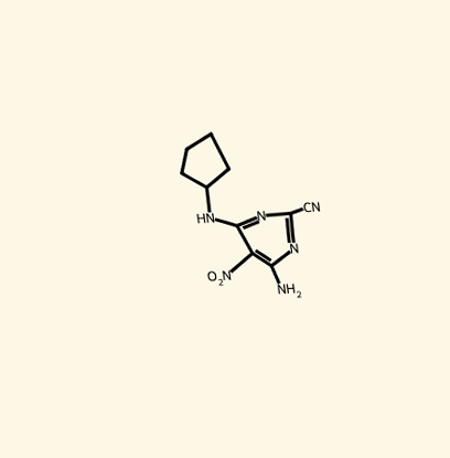 N#Cc1nc(N)c([N+](=O)[O-])c(NC2CCCC2)n1